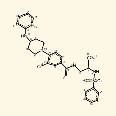 O=C(NC[C@H](NS(=O)(=O)c1ccccc1)C(=O)O)c1ccc(N2CCC(Nc3ncccn3)CC2)c(Cl)c1